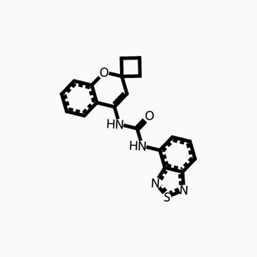 O=C(NC1=CC2(CCC2)Oc2ccccc21)Nc1cccc2nsnc12